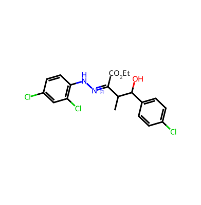 CCOC(=O)/C(=N\Nc1ccc(Cl)cc1Cl)C(C)C(O)c1ccc(Cl)cc1